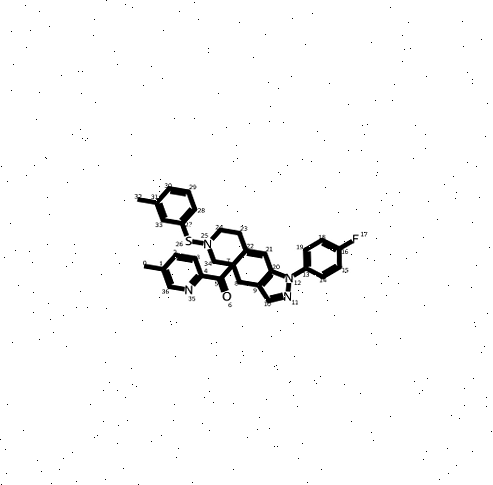 Cc1ccc(C(=O)C23Cc4cnn(-c5ccc(F)cc5)c4C=C2CCN(Sc2cccc(C)c2)C3)nc1